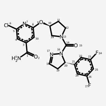 NC(=O)c1cc(Cl)nc(O[C@H]2CCN(C(=O)N3N=CC[C@H]3c3cc(F)cc(F)c3)C2)c1